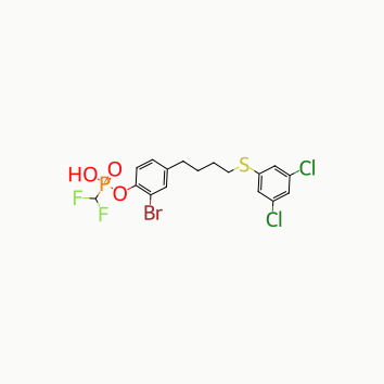 O=P(O)(Oc1ccc(CCCCSc2cc(Cl)cc(Cl)c2)cc1Br)C(F)F